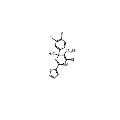 CCOC(=O)C1=C(Cl)NC(c2nccs2)=NC1(C)c1ccc(F)c(Cl)c1